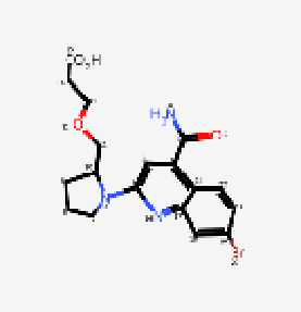 NC(=O)c1cc(N2CCCC2COCCC(=O)O)nc2cc(Br)ccc12